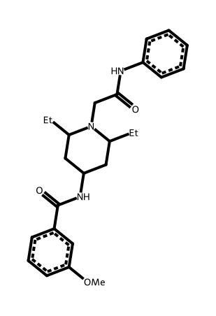 CCC1CC(NC(=O)c2cccc(OC)c2)CC(CC)N1CC(=O)Nc1ccccc1